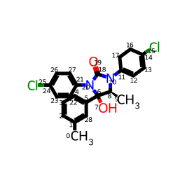 Cc1cccc(C2(O)[C@H](C)N(C3=CC=C(Cl)CC3)C(=O)N2c2ccc(Cl)cc2)c1